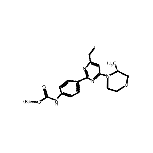 C[C@H]1COCCN1c1cc(CI)nc(-c2ccc(NC(=O)OC(C)(C)C)cc2)n1